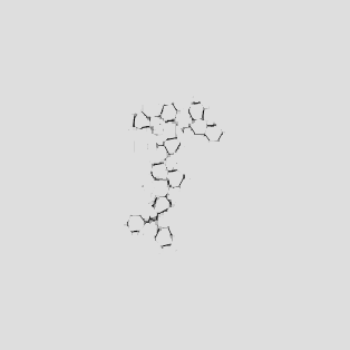 Oc1cc(N(c2cc3ccccc3c3ccccc23)c2cccc3c2oc2ccccc23)ccc1-c1ccc2c3c(cccc13)-c1ccc(N(C3=CCCC=C3)c3ccccc3)cc1O2